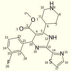 COC(=O)C1=C(C2CCNCC2)NC(c2nccs2)=NC1c1cccc(F)c1C